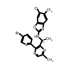 Cc1cnc(-c2ccc(Br)cn2)c([C@H](C)Nc2nc3cc(C(F)(F)F)c(Cl)cc3o2)n1